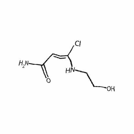 NC(=O)/C=C(/Cl)NCCO